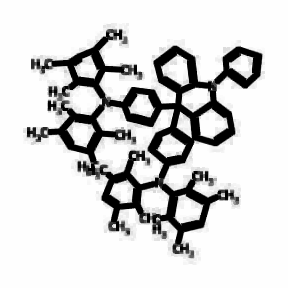 Cc1cc(C)c(C)c(N(c2ccc(C3(c4ccc(N(c5c(C)c(C)cc(C)c5C)c5c(C)c(C)cc(C)c5C)cc4)c4ccccc4N(c4ccccc4)c4ccccc43)cc2)c2c(C)c(C)cc(C)c2C)c1C